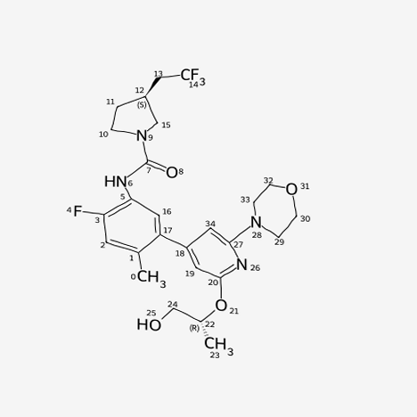 Cc1cc(F)c(NC(=O)N2CC[C@@H](CC(F)(F)F)C2)cc1-c1cc(O[C@H](C)CO)nc(N2CCOCC2)c1